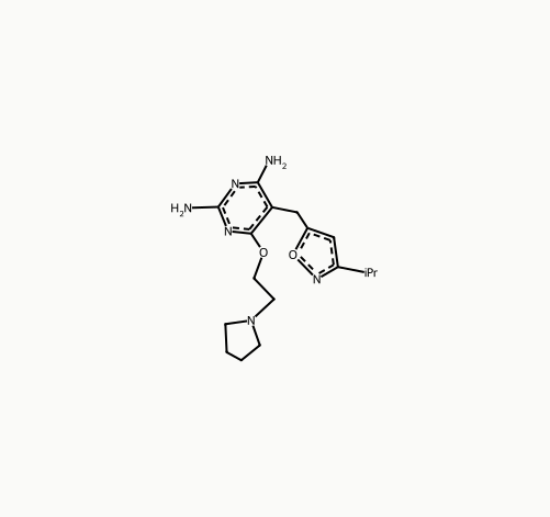 CC(C)c1cc(Cc2c(N)nc(N)nc2OCCN2CCCC2)on1